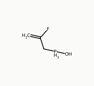 C=C(F)C[PH3]O